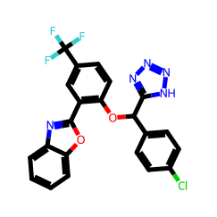 FC(F)(F)c1ccc(OC(c2ccc(Cl)cc2)c2nnn[nH]2)c(-c2nc3ccccc3o2)c1